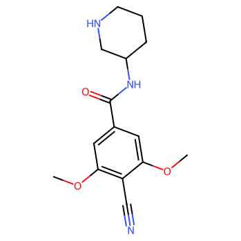 COc1cc(C(=O)NC2CCCNC2)cc(OC)c1C#N